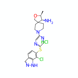 C[C@@H]1OCC2(CCN(c3cnc(Sc4ccc5cn[nH]c5c4Cl)cn3)CC2)[C@@H]1N.Cl